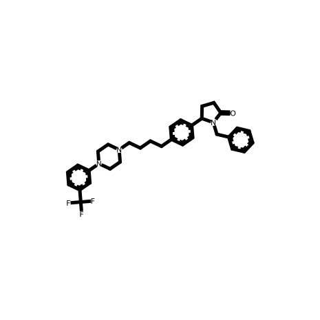 O=C1CCC(c2ccc(CCCCN3CCN(c4cccc(C(F)(F)F)c4)CC3)cc2)N1Cc1ccccc1